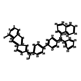 Cc1cccc2cc3cc(N(C)c4ccc(-c5ccc(N(c6ccccc6)c6cccc7ccccc67)cc5)cc4)ccc3cc12